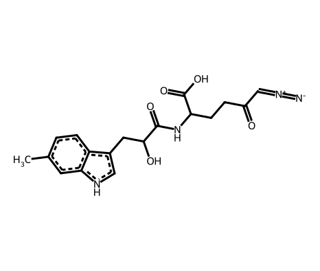 Cc1ccc2c(CC(O)C(=O)NC(CCC(=O)C=[N+]=[N-])C(=O)O)c[nH]c2c1